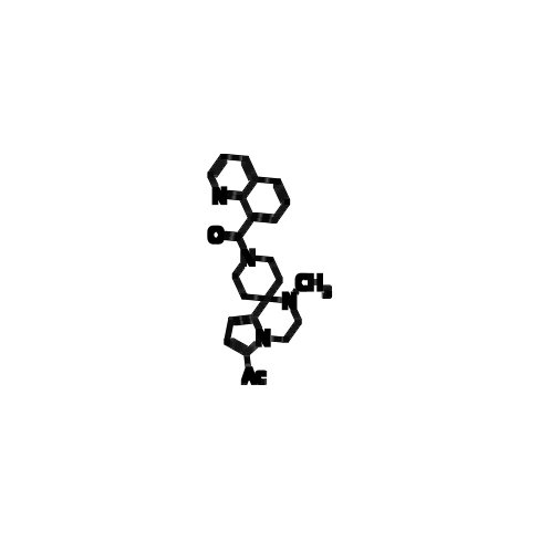 CC(=O)c1ccc2n1CCN(C)C21CCN(C(=O)c2cccc3cccnc23)CC1